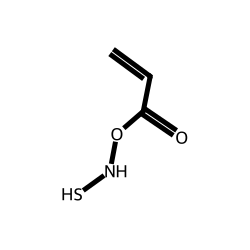 C=CC(=O)ONS